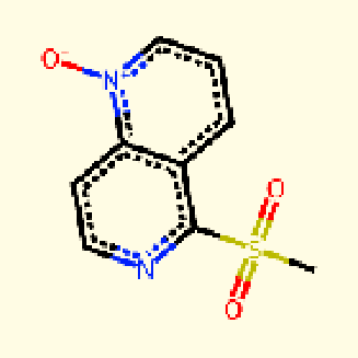 CS(=O)(=O)c1nccc2c1ccc[n+]2[O-]